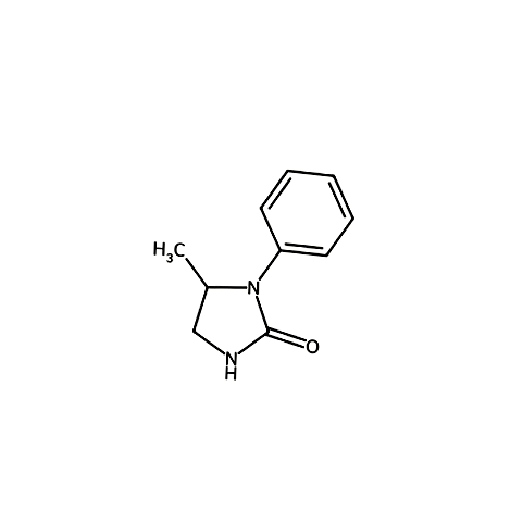 CC1CNC(=O)N1c1ccccc1